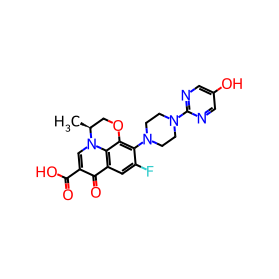 C[C@H]1COc2c(N3CCN(c4ncc(O)cn4)CC3)c(F)cc3c(=O)c(C(=O)O)cn1c23